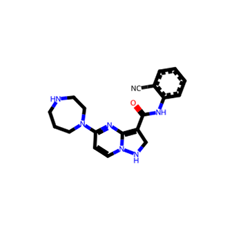 N#Cc1ccccc1NC(=O)C1=C2N=C(N3CCCNCC3)C=CN2NC1